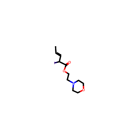 C/C=C/C(I)C(=O)OCCN1CCOCC1